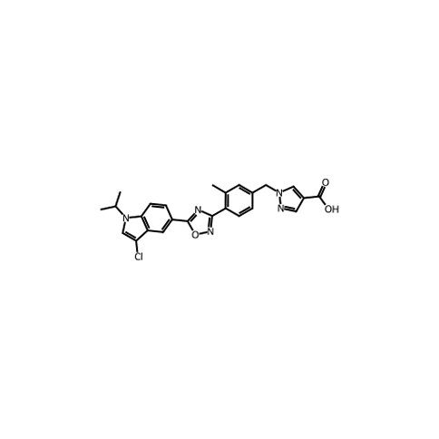 Cc1cc(Cn2cc(C(=O)O)cn2)ccc1-c1noc(-c2ccc3c(c2)c(Cl)cn3C(C)C)n1